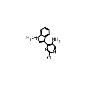 Cn1cc(-c2nc(Cl)ncc2N)c2ccccc21